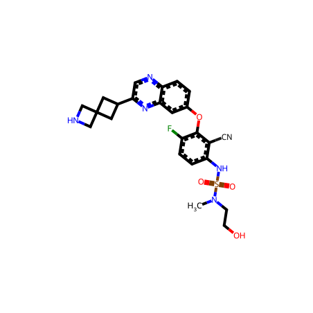 CN(CCO)S(=O)(=O)Nc1ccc(F)c(Oc2ccc3ncc(C4CC5(CNC5)C4)nc3c2)c1C#N